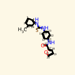 Cc1cccc(NC(=S)Nc2ccc(NC(=O)c3ccco3)cc2)c1